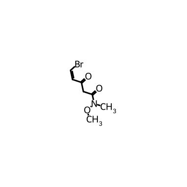 CON(C)C(=O)CC(=O)/C=C\Br